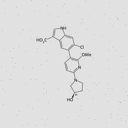 COc1nc(N2CC[C@@H](O)C2)ccc1-c1cc2c(C(=O)O)c[nH]c2cc1Cl